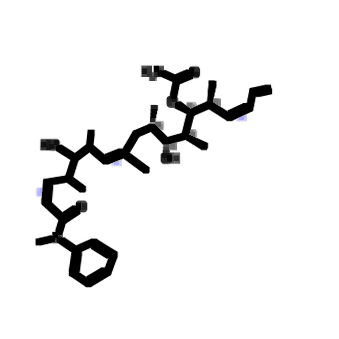 C=C/C=C\[C@H](C)[C@H](OC(N)=O)[C@@H](C)[C@H](O)[C@@H](C)C/C(C)=C\C(C)C(O)C(C)/C=C\C(=O)N(C)c1ccccc1